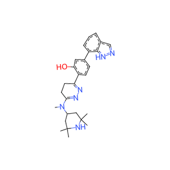 CN(C1=NN=C(c2ccc(-c3cccc4cn[nH]c34)cc2O)CC1)C1CC(C)(C)NC(C)(C)C1